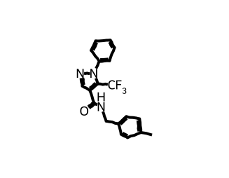 Cc1ccc(CNC(=O)c2cnn(-c3ccccc3)c2C(F)(F)F)cc1